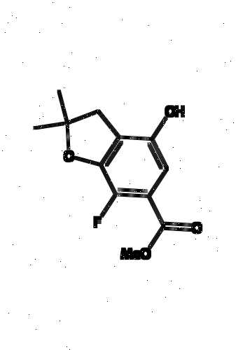 COC(=O)c1cc(O)c2c(c1F)OC(C)(C)C2